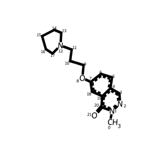 Cn1ncc2ccc(OCCCN3CCCCC3)cc2c1=O